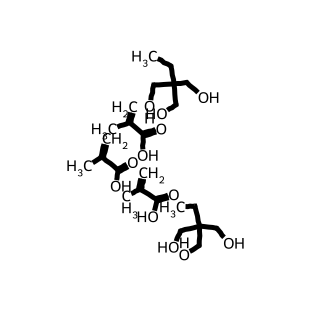 C=C(C)C(=O)O.C=C(C)C(=O)O.C=C(C)C(=O)O.CCC(CO)(CO)CO.CCC(CO)(CO)CO